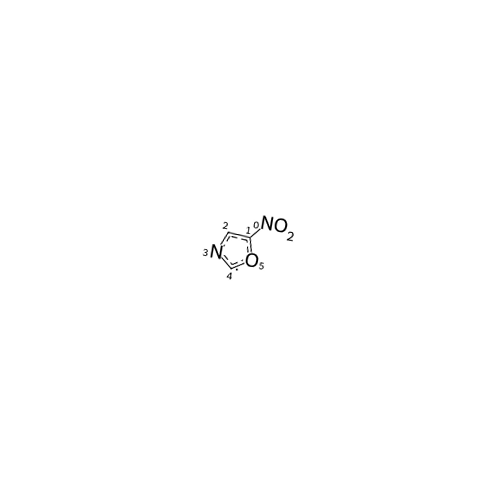 O=[N+]([O-])c1cn[c]o1